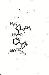 COc1nn(C)cc1C(=O)Nc1cccc(-c2nncn2[C@@H](C)CO)n1